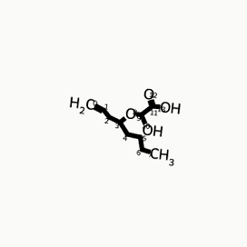 C=CCC(CCCC)OC(O)C(=O)O